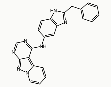 c1ccc(Cc2nc3cc(Nc4ncnc5nn6ccccc6c45)ccc3[nH]2)cc1